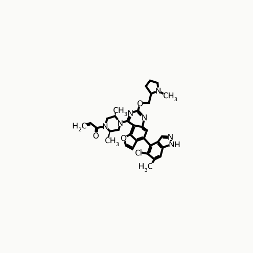 C=CC(=O)N1C[C@H](C)N(c2nc(OCC3CCCN3C)nc3cc(-c4c(Cl)c(C)cc5[nH]ncc45)c4ccoc4c23)C[C@H]1C